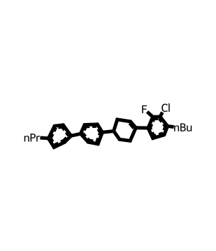 CCCCc1ccc(C2=CCC(c3ccc(-c4ccc(CCC)cc4)cc3)CC2)c(F)c1Cl